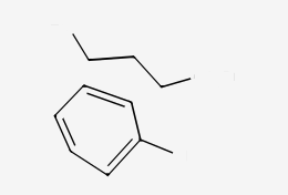 CCOC(=O)CCCO.Clc1ccccc1